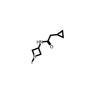 O=C(CC1CC1)NC1CN(I)C1